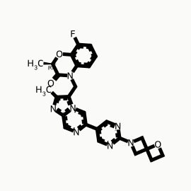 Cc1nc2cnc(-c3cnc(N4CC5(CCO5)C4)nc3)cn2c1CN1C(=O)[C@@H](C)Oc2c(F)cccc21